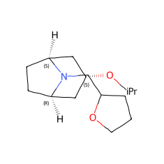 CC(C)O[C@@H]1C[C@H]2CC[C@@H](C1)N2CC1CCCO1